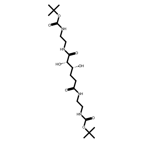 CC(C)(C)OC(=O)NCCNC(=O)CC[C@@H](O)[C@H](O)C(=O)NCCNC(=O)OC(C)(C)C